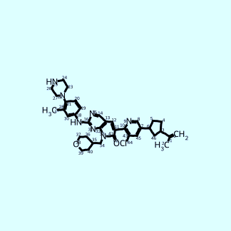 C=C(C)C1CCC(c2cnc(-c3cc4cnc(Nc5ccc(N6CCNCC6)c(C)c5)nc4n(CC4CCOCC4)c3=O)c(Cl)c2)C1